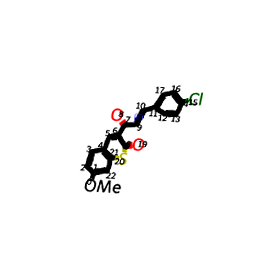 COc1ccc2cc(C(=O)/C=C/c3ccc(Cl)cc3)c(=O)sc2c1